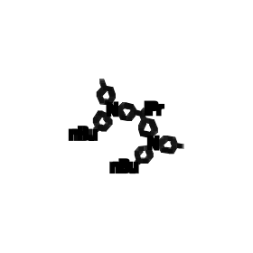 CCCCc1ccc(N(c2ccc(C)cc2)c2ccc(C(c3ccc(N(c4ccc(C)cc4)c4ccc(CCCC)cc4)cc3)C(C)C)cc2)cc1